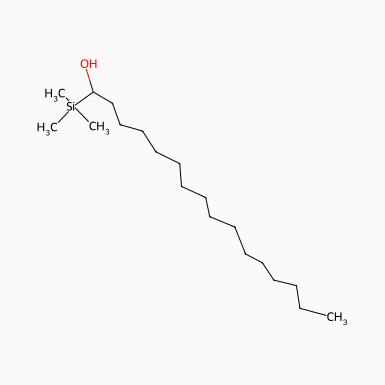 CCCCCCCCCCCCCCCC(O)[Si](C)(C)C